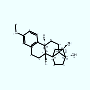 COc1ccc2c(c1)CC[C@@H]1[C@@H]2CC[C@@]2(C)[C@]13CC[C@]2(O)[C@H](O)C3